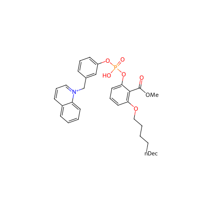 CCCCCCCCCCCCCCOc1cccc(OP(=O)(O)Oc2cccc(C[n+]3cccc4ccccc43)c2)c1C(=O)OC